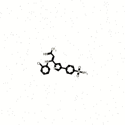 N=C(/C=C(\Nc1ccccc1Cl)c1cc(-c2ccc(S(N)(=O)=O)cc2)cs1)C(F)(F)F